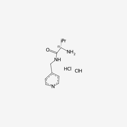 CC(C)[C@H](N)C(=O)NCc1ccncc1.Cl.Cl